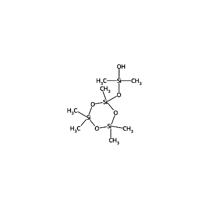 C[Si](C)(O)O[Si]1(C)O[Si](C)(C)O[Si](C)(C)O1